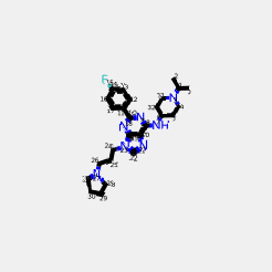 CC(C)N1CCC(Nc2nc(-c3ccc(F)cc3)nc3c2ncn3CCCN2CCCC2)CC1